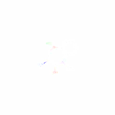 CN1c2ccccc2OC[C@H](N)C1O.Cl